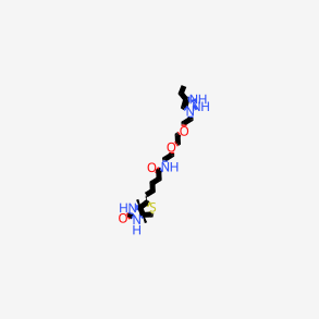 CCC1=CN(CCOCCOCCNC(=O)CCCC[C@@H]2SC[C@]3(C)NC(=O)N[C@]23C)NN1